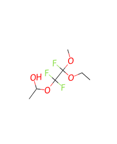 CCOC(F)(OC)C(F)(F)OC(C)O